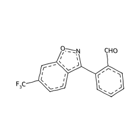 O=Cc1ccccc1-c1noc2cc(C(F)(F)F)ccc12